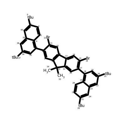 CC(C)(C)c1ccc2c(-c3cc4c(cc3Br)-c3cc(Br)c(-c5cc(C(C)(C)C)cc6cc(C(C)(C)C)ccc56)cc3C4(C)C)cc(C(C)(C)C)cc2c1